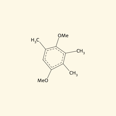 COc1cc(C)c(OC)c(C)c1C